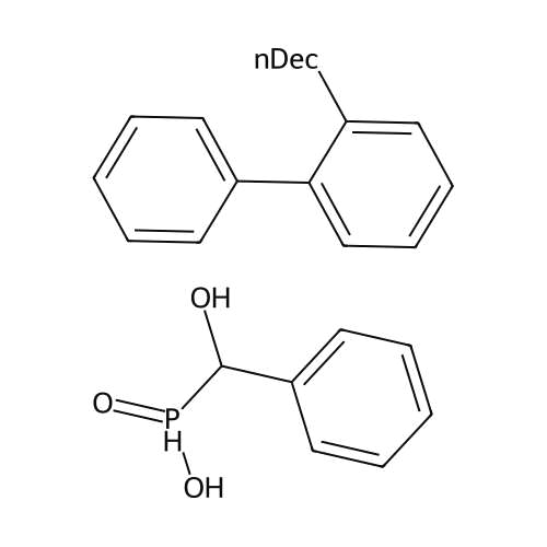 CCCCCCCCCCc1ccccc1-c1ccccc1.O=[PH](O)C(O)c1ccccc1